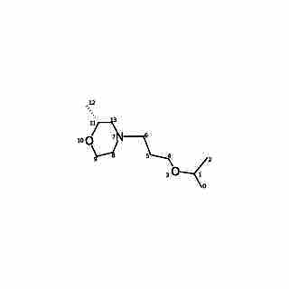 CC(C)OCCCN1CCO[C@H](C)C1